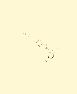 COC(=O)c1ccc2c(n1)N(C(=O)Nc1ccc(OC[C@@H]3COC(C)(C)O3)nn1)C1CCN2C1